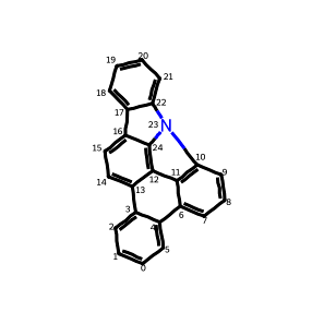 c1ccc2c(c1)c1cccc3c1c1c2ccc2c4ccccc4n3c21